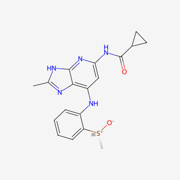 Cc1nc2c(Nc3ccccc3[S@@+](C)[O-])cc(NC(=O)C3CC3)nc2[nH]1